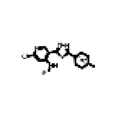 CC(C)Nc1cc(Cl)ncc1-c1nnc(C23CCC(C)(CC2)CC3)s1